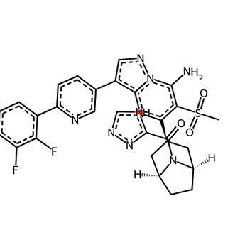 CS(=O)(=O)c1c([C@H]2C[C@H]3CC[C@@H](C2)N3C(=O)c2nnc[nH]2)nc2c(-c3ccc(-c4cccc(F)c4F)nc3)cnn2c1N